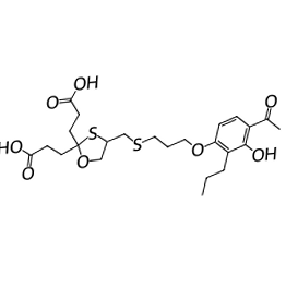 CCCc1c(OCCCSCC2COC(CCC(=O)O)(CCC(=O)O)S2)ccc(C(C)=O)c1O